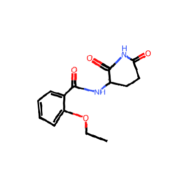 CCOc1ccccc1C(=O)NC1CCC(=O)NC1=O